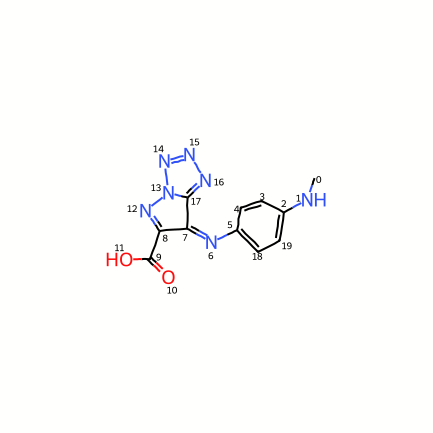 CNc1ccc(N=C2C(C(=O)O)=Nn3nnnc32)cc1